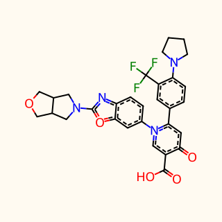 O=C(O)c1cn(-c2ccc3nc(N4CC5COCC5C4)oc3c2)c(-c2ccc(N3CCCC3)c(C(F)(F)F)c2)cc1=O